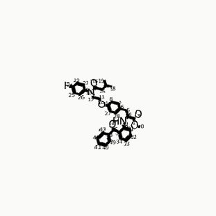 COC(=O)C(Cc1ccc(OCCN(C(=O)CC(C)C)c2ccc(F)cc2)cc1)Nc1ccccc1C(=O)c1ccccc1